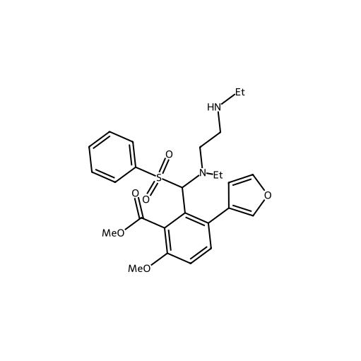 CCNCCN(CC)C(c1c(-c2ccoc2)ccc(OC)c1C(=O)OC)S(=O)(=O)c1ccccc1